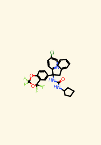 O=C(NC1CCCC1)NC(Cc1ccccc1)(c1ccc2c(c1)C(F)(F)OC(F)(F)O2)c1ccc(Cl)cn1